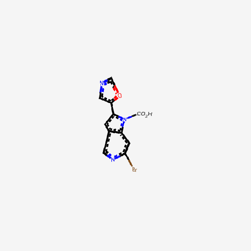 O=C(O)n1c(-c2cnco2)cc2cnc(Br)cc21